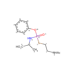 CC(=O)NCCSP(=O)(NC(C)C(=O)O)Oc1ccccc1